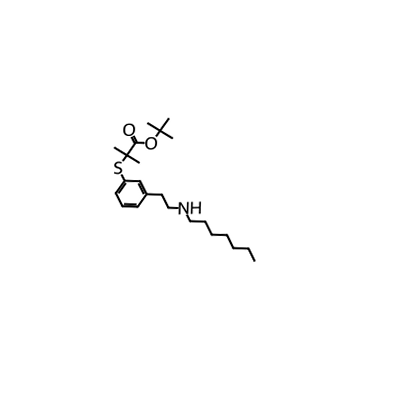 CCCCCCCNCCc1cccc(SC(C)(C)C(=O)OC(C)(C)C)c1